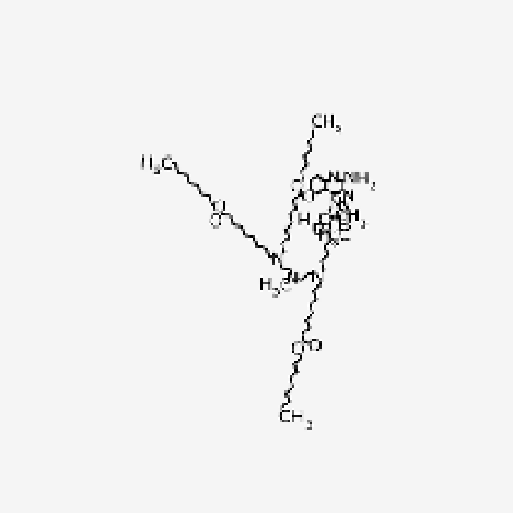 CCCCCCCCCOC(=O)CCCCCCCCN(CCCCCCCCC(=O)OCCCCCCCCC)CCN(C)CCN(CCCCCCCCC(=O)OCCCCCCCCC)CCCCCC(=O)OC(C)(C)Cn1c(COCC)nc2c(N)nc3ccccc3c21